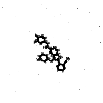 N#Cc1ccccc1-c1nc2cnc(NCc3ccc(F)c(F)c3)nc2n1C[C@@H]1CCCNC1